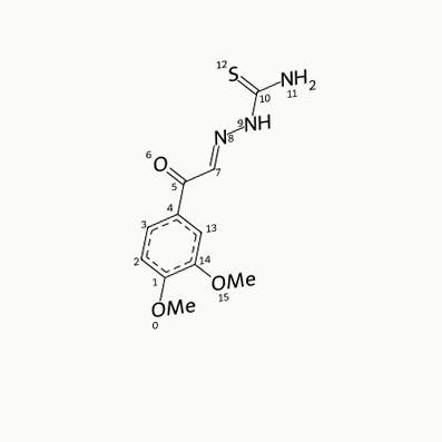 COc1ccc(C(=O)/C=N/NC(N)=S)cc1OC